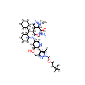 Cc1nn(COCC[Si](C)(C)C)c(C)c1-c1ncc(NC(=O)C(c2cnn(C(C)C)c2C(N)=O)C(C2CCCCC2)C2CCCCC2)cc1O